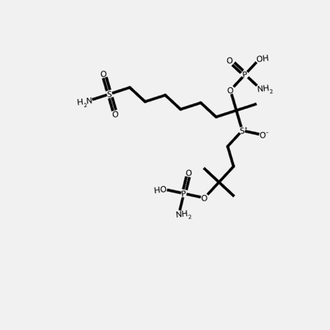 CC(C)(CC[S+]([O-])C(C)(CCCCCCS(N)(=O)=O)OP(N)(=O)O)OP(N)(=O)O